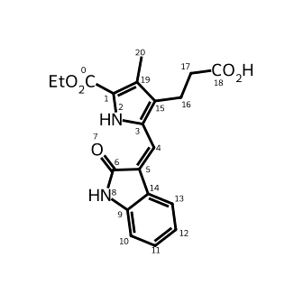 CCOC(=O)c1[nH]c(C=C2C(=O)Nc3ccccc32)c(CCC(=O)O)c1C